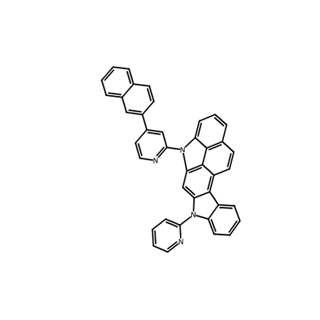 c1ccc(-n2c3ccccc3c3c4ccc5cccc6c5c4c(cc32)n6-c2cc(-c3ccc4ccccc4c3)ccn2)nc1